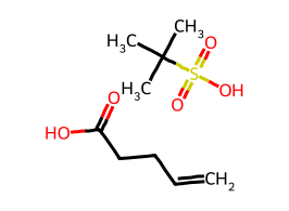 C=CCCC(=O)O.CC(C)(C)S(=O)(=O)O